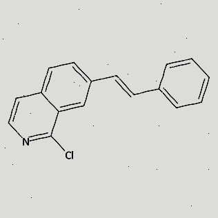 Clc1nccc2ccc(C=Cc3ccccc3)cc12